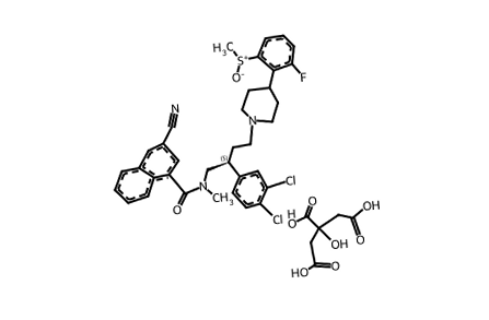 CN(C[C@@H](CCN1CCC(c2c(F)cccc2[S+](C)[O-])CC1)c1ccc(Cl)c(Cl)c1)C(=O)c1cc(C#N)cc2ccccc12.O=C(O)CC(O)(CC(=O)O)C(=O)O